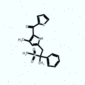 Cc1cc(CC(C)(c2ccccc2)S(N)(=O)=O)[nH]c1C(=O)c1cccs1